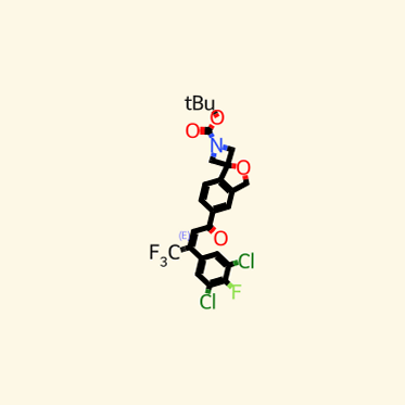 CC(C)(C)OC(=O)N1CC2(C1)OCc1cc(C(=O)/C=C(\c3cc(Cl)c(F)c(Cl)c3)C(F)(F)F)ccc12